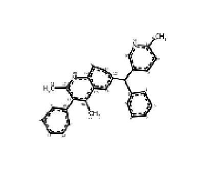 Cc1ccc(C(c2ccccc2)c2ccc3nc(C)c(-c4ccccc4)c(C)c3c2)cn1